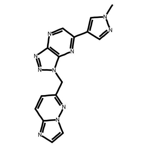 Cn1cc(-c2cnc3nnn(Cc4ccc5nccn5n4)c3n2)cn1